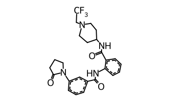 O=C(Nc1ccccc1C(=O)NC1CCN(CC(F)(F)F)CC1)c1cccc(N2CCCC2=O)c1